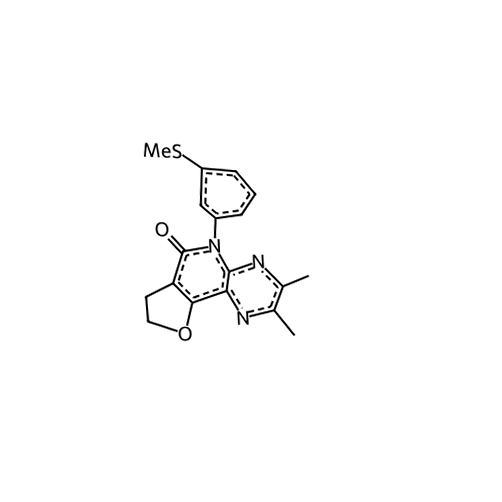 CSc1cccc(-n2c(=O)c3c(c4nc(C)c(C)nc42)OCC3)c1